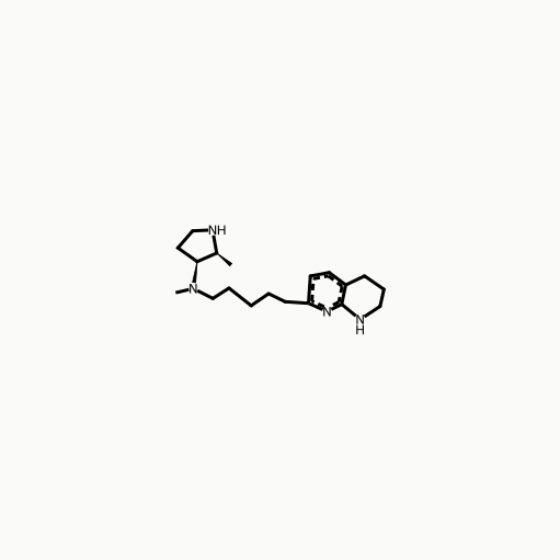 C[C@@H]1NCC[C@@H]1N(C)CCCCCc1ccc2c(n1)NCCC2